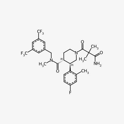 Cc1cc(F)ccc1[C@@H]1CN(C(=O)C(C)(C)C(N)=O)CC[C@H]1C(=O)N(C)Cc1cc(C(F)(F)F)cc(C(F)(F)F)c1